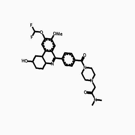 COc1cc2c(cc1OC(F)F)C1CC(O)CCC1N=C2c1ccc(C(=O)N2CCN(CC(=O)N(C)C)CC2)cc1